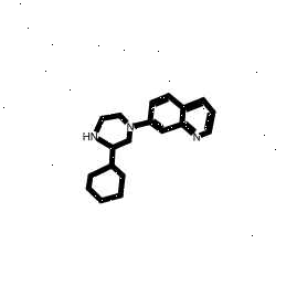 c1cnc2cc(N3CCNC(C4CCCCC4)C3)ccc2c1